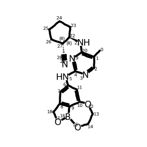 Cc1cnc(Nc2cc3c4c(c2)OCCOB4OC3)nc1N[C@@H]1CCCC[C@H]1C#N